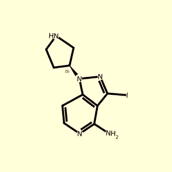 Nc1nccc2c1c(I)nn2[C@H]1CCNC1